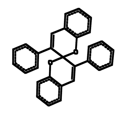 C1=C(c2ccccc2)C2(Oc3ccccc31)Oc1ccccc1C=C2c1ccccc1